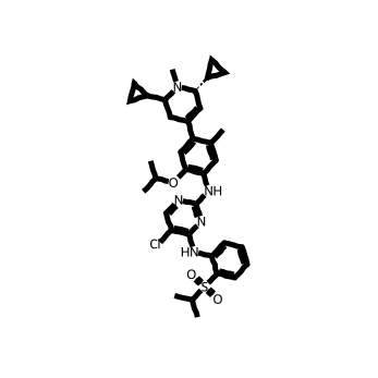 Cc1cc(Nc2ncc(Cl)c(Nc3ccccc3S(=O)(=O)C(C)C)n2)c(OC(C)C)cc1C1=C[C@@H](C2CC2)N(C)C(C2CC2)C1